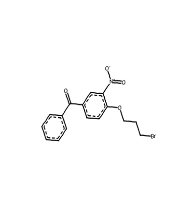 O=C(c1ccccc1)c1ccc(OCCCBr)c([N+](=O)[O-])c1